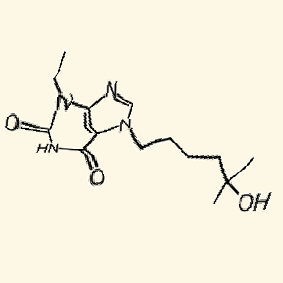 CCn1c(=O)[nH]c(=O)c2c1ncn2CCCCC(C)(C)O